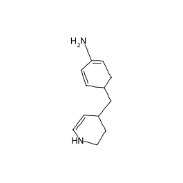 NC1=CCC(CC2C=CNCC2)C=C1